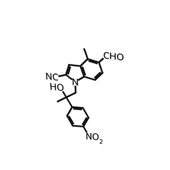 Cc1c(C=O)ccc2c1cc(C#N)n2CC(C)(O)c1ccc([N+](=O)[O-])cc1